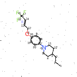 CCCC1CCN(c2ccc(OC/C=C/C(F)(F)F)cc2)CC1